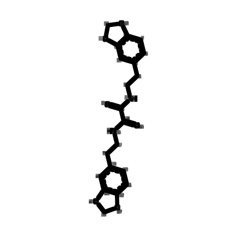 O=C(NCCc1ccc2c(c1)OCO2)C(=O)NCCc1ccc2c(c1)OCO2